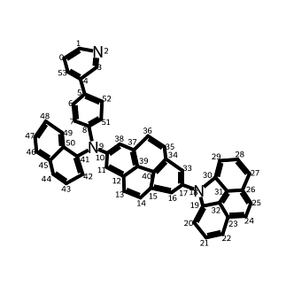 c1cncc(-c2ccc(N(c3cc4ccc5cc(-n6c7cccc8ccc9cccc6c9c87)cc6ccc(c3)c4c56)c3cccc4ccccc34)cc2)c1